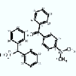 CN(C)c1ccc(C(=O)c2ccccc2)cc1.O=C(O)C(c1ccccc1)c1ccccc1